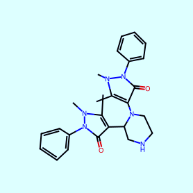 Cc1c(C2CNCCN2c2c(C)n(C)n(-c3ccccc3)c2=O)c(=O)n(-c2ccccc2)n1C